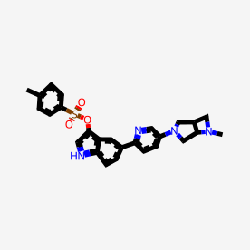 Cc1ccc(S(=O)(=O)Oc2c[nH]c3ccc(-c4ccc(N5CC6CN(C)C6C5)cn4)cc23)cc1